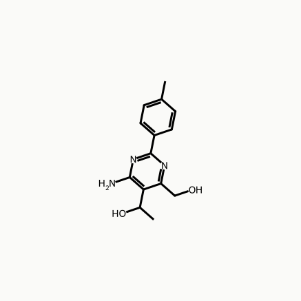 Cc1ccc(-c2nc(N)c(C(C)O)c(CO)n2)cc1